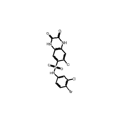 O=c1[nH]c2cc(Cl)c(S(=O)(=O)Nc3ccc(Br)c(Cl)c3)cc2[nH]c1=O